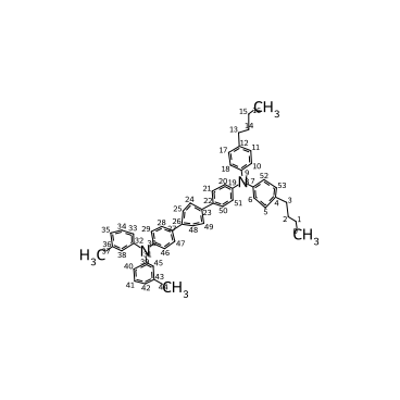 CCCCc1ccc(N(c2ccc(CCCC)cc2)c2ccc(-c3ccc(-c4ccc(N(c5cccc(C)c5)c5cccc(C)c5)cc4)cc3)cc2)cc1